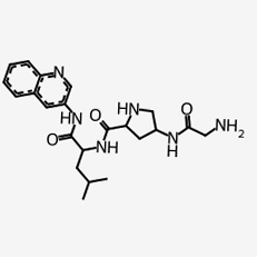 CC(C)CC(NC(=O)C1CC(NC(=O)CN)CN1)C(=O)Nc1cnc2ccccc2c1